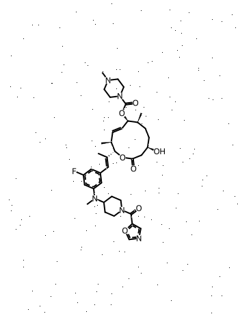 C/C(=C\c1cc(F)cc(N(C)C2CCN(C(=O)c3cnco3)CC2)c1)[C@H]1OC(=O)C[C@H](O)CC[C@H](C)[C@H](OC(=O)N2CCN(C)CC2)/C=C/[C@@H]1C